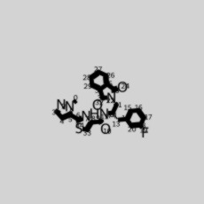 Cn1nccc1-c1nc(C(=O)N[C@@H](Cc2cccc(F)c2)CN2C(=O)c3ccccc3C2=O)cs1